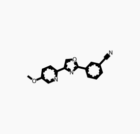 COc1ccc(-c2coc(-c3cccc(C#N)c3)n2)nc1